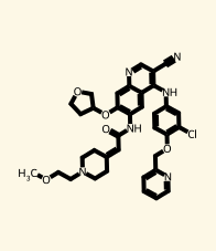 COCCN1CCC(=CC(=O)Nc2cc3c(Nc4ccc(OCc5ccccn5)c(Cl)c4)c(C#N)cnc3cc2OC2CCOC2)CC1